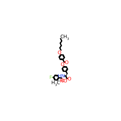 CCCCCCCOc1ccc(C(=O)Oc2ccc(C[C@H](NC(=O)c3ccc(F)cc3C)C(=O)O)cc2)cc1